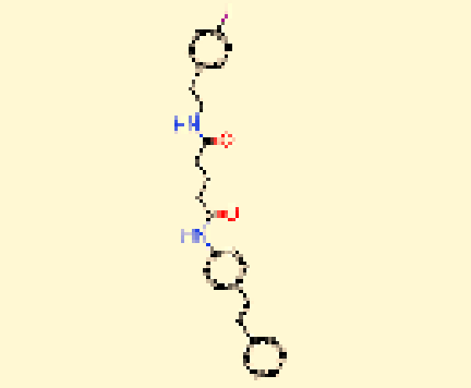 O=C(CCCC(=O)Nc1ccc(/C=C/c2ccccc2)cc1)NCCc1ccc(I)cc1